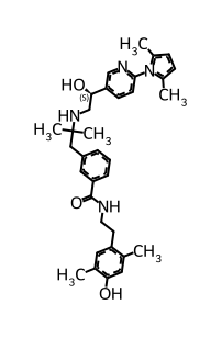 Cc1cc(CCNC(=O)c2cccc(CC(C)(C)NC[C@@H](O)c3ccc(-n4c(C)ccc4C)nc3)c2)c(C)cc1O